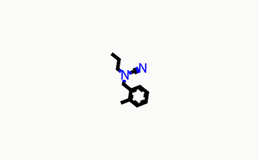 CCCN(C#N)Cc1ccccc1C